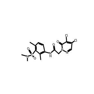 Cc1ccc(NC(=O)Cn2ncc(Cl)c(Cl)c2=O)c(C)c1S(=O)(=O)N(C)C